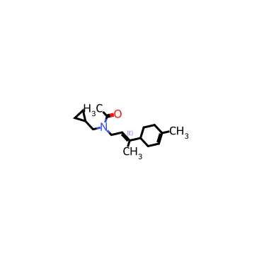 CC(=O)N(C/C=C(\C)C1CC=C(C)CC1)CC1CC1